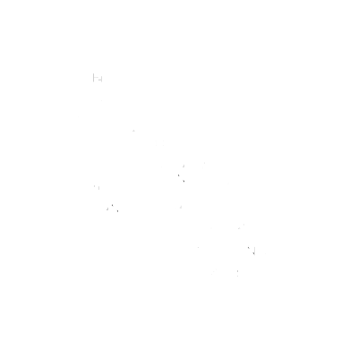 O=C(c1cnoc1-c1ccc(Br)cc1)N1CCC(c2cccnc2)C1